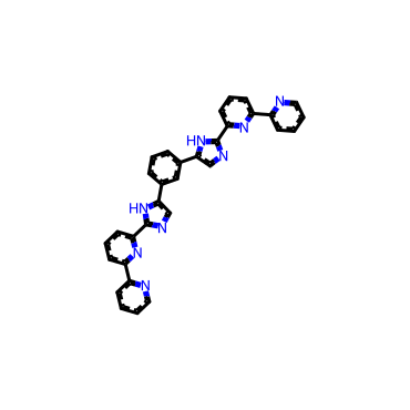 c1ccc(-c2cccc(-c3ncc(-c4cccc(-c5cnc(-c6cccc(-c7ccccn7)n6)[nH]5)c4)[nH]3)n2)nc1